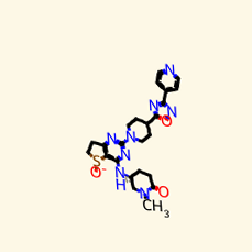 CN1C[C@@H](Nc2nc(N3CCC(c4nc(-c5ccncc5)no4)CC3)nc3c2[S+]([O-])CC3)CCC1=O